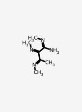 CN=C(C)C(=N/C)/C(N)=N\C